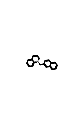 C1=Cc2ccccc2N(Cc2ccc3ccccc3c2)C1